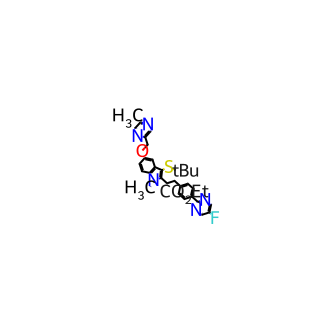 CCOC(=O)C(Cc1ccc(-c2ncc(F)cn2)cc1)c1c(SC(C)(C)C)c2cc(OCc3cnc(C)cn3)ccc2n1C